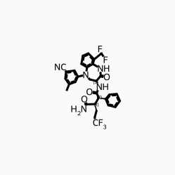 Cc1cc(C#N)cc(N2C[C@H](NC(=O)[C@@H](c3ccccc3)[C@@H](CCC(F)(F)F)C(N)=O)C(=O)Nc3c(C(F)F)cccc32)c1